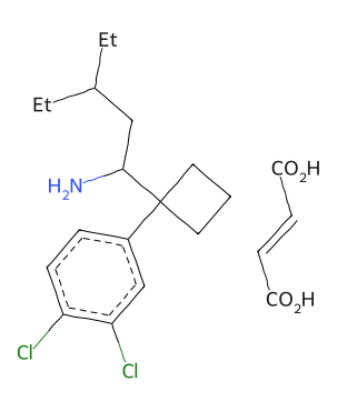 CCC(CC)CC(N)C1(c2ccc(Cl)c(Cl)c2)CCC1.O=C(O)C=CC(=O)O